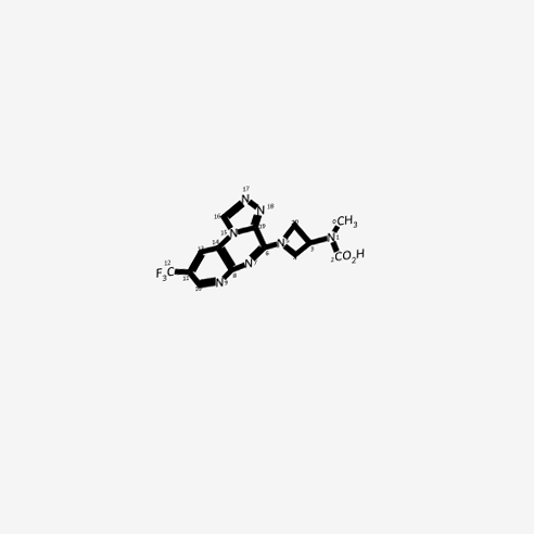 CN(C(=O)O)C1CN(c2nc3ncc(C(F)(F)F)cc3n3cnnc23)C1